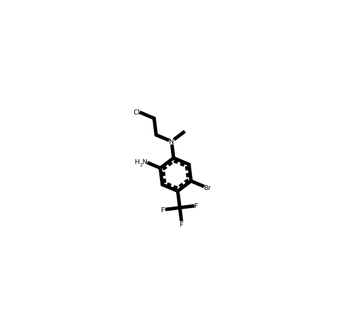 CN(CCCl)c1cc(Br)c(C(F)(F)F)cc1N